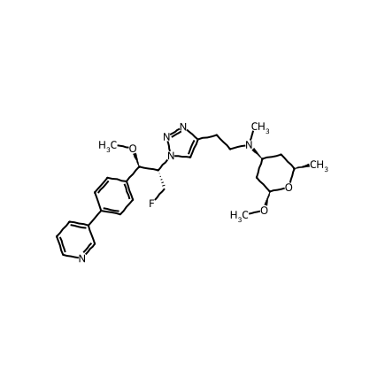 CO[C@H]1C[C@@H](N(C)CCc2cn([C@H](CF)[C@H](OC)c3ccc(-c4cccnc4)cc3)nn2)C[C@@H](C)O1